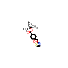 CC(C)(C)OC(=O)[C@H]1CC[C@](O)(Cc2nccs2)CC1